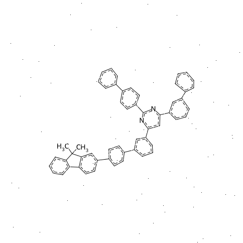 CC1(C)c2ccccc2-c2ccc(-c3ccc(-c4cccc(-c5cc(-c6cccc(-c7ccccc7)c6)nc(-c6ccc(-c7ccccc7)cc6)n5)c4)cc3)cc21